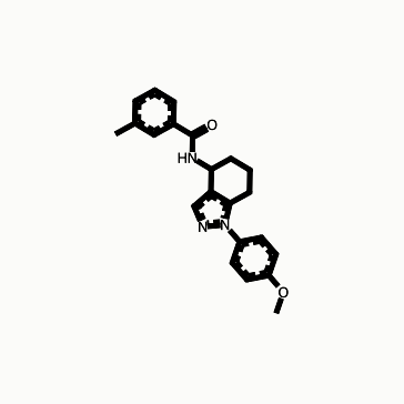 COc1ccc(-n2ncc3c2CCCC3NC(=O)c2cccc(C)c2)cc1